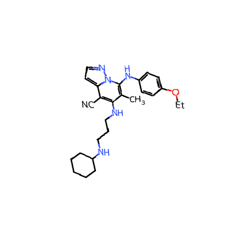 CCOc1ccc(Nc2c(C)c(NCCCNC3CCCCC3)c(C#N)c3ccnn23)cc1